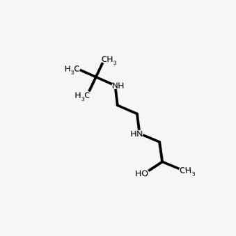 CC(O)CNCCNC(C)(C)C